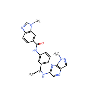 C[C@H](Nc1cnc2cnn(C)c2n1)c1cccc(NC(=O)c2ccc3ncn(C)c3c2)c1